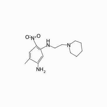 Cc1cc([N+](=O)[O-])c(NCCN2CCCCC2)cc1N